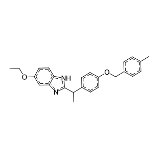 CCOc1ccc2[nH]c(C(C)c3ccc(OCc4ccc(C)cc4)cc3)nc2c1